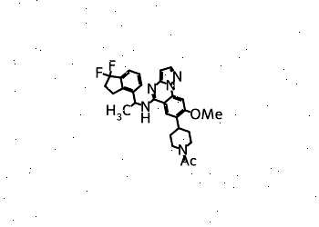 COc1cc2c(cc1C1CCN(C(C)=O)CC1)c(NC(C)c1cccc3c1CCC3(F)F)nc1ccnn12